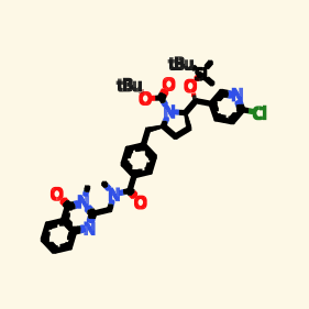 CN(Cc1nc2ccccc2c(=O)n1C)C(=O)c1ccc(C[C@@H]2CC[C@H]([C@H](O[Si](C)(C)C(C)(C)C)c3ccc(Cl)nc3)N2C(=O)OC(C)(C)C)cc1